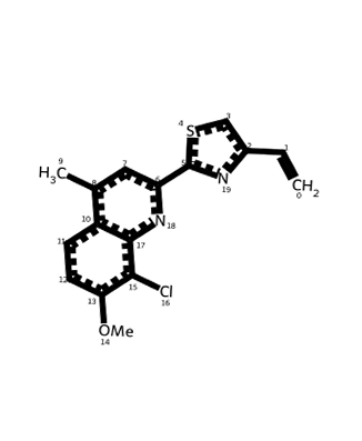 C=Cc1csc(-c2cc(C)c3ccc(OC)c(Cl)c3n2)n1